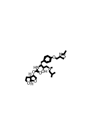 CC1=NC(COc2ccc(C[C@H](NC(=O)O[C@@H]3CO[C@H]4OCC[C@H]43)[C@H](O)CN(C)CC(C)C)cc2)CS1